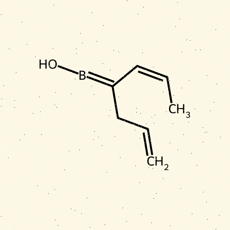 C=CCC(=B\O)/C=C\C